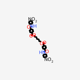 O=C(Nc1ccc([N+](=O)[O-])cc1)c1ccc(C(=O)OCCCCCCOC(=O)c2ccc(C(=O)Nc3ccc([N+](=O)[O-])cc3)cc2)cc1